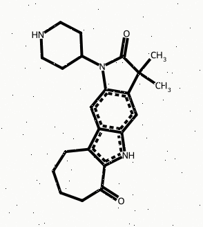 CC1(C)C(=O)N(C2CCNCC2)c2cc3c4c([nH]c3cc21)C(=O)CCCC4